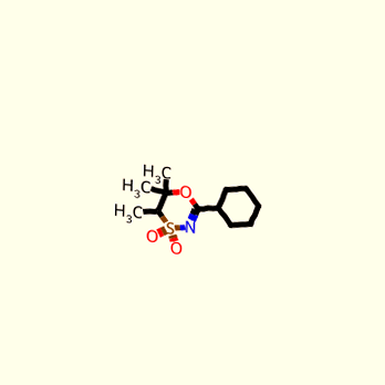 CC1C(C)(C)OC(C2CCCCC2)=NS1(=O)=O